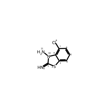 N=c1sc2cccc(Cl)c2n1N